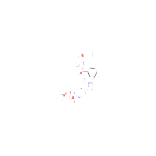 COC(=O)N(C)C(=O)c1cccc2oc(NC3CCN(C(=O)OC(C)(C)C)CC3)nc12